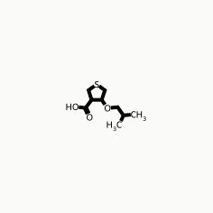 CC(C)COC1CSCC1C(=O)O